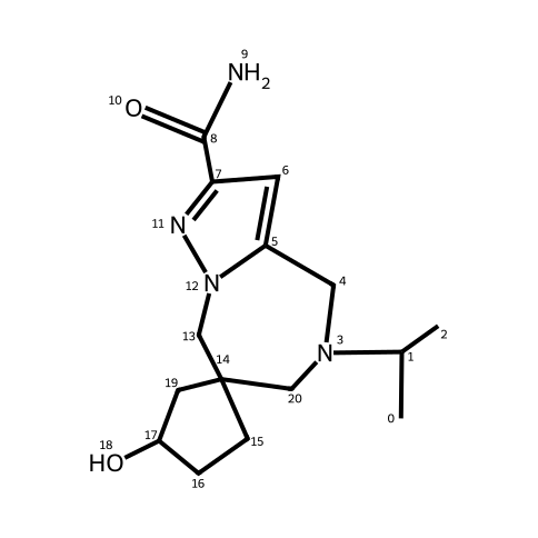 CC(C)N1Cc2cc(C(N)=O)nn2CC2(CCC(O)C2)C1